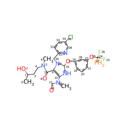 CC(O)CCN(C)C(=O)C1=C(N(C)C=O)NC(Oc2cccc(OC(F)(F)P)c2)N1Cc1ccc(Cl)cn1